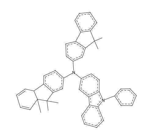 CC1(C)c2ccccc2-c2ccc(N(c3ccc4c(c3)C(C)(C)C3(C)C=CC=CC43)c3ccc4c(c3)c3ccccc3n4-c3ccccc3)cc21